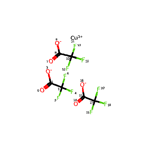 O=C([O-])C(F)(F)F.O=C([O-])C(F)(F)F.O=C([O-])C(F)(F)F.[Cu+3]